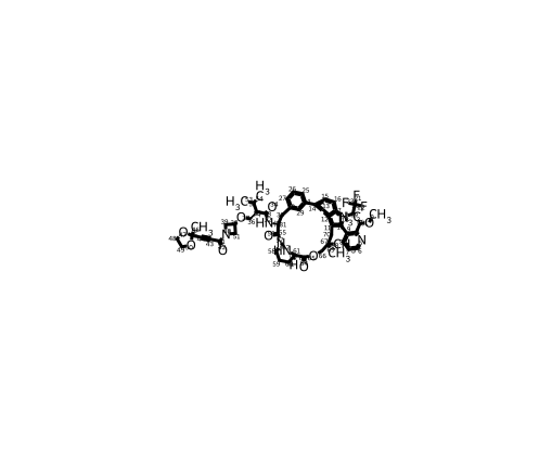 CO[C@@H](C)c1ncccc1-c1c2c3cc(ccc3n1CC(F)(F)F)-c1cccc(c1)C[C@H](NC(=O)[C@@H](COC1CN(C(=O)C#CC3(C)OCCO3)C1)C(C)C)C(=O)N1CCC[C@H](N1)C(=O)OCC(C)(C)C2